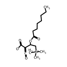 CCCCCCCC(=O)OC(C[N+](C)(C)C)C(=C=O)C(=O)[O-]